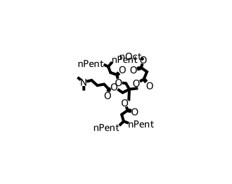 CCCCCCCCOC(=O)CC(=O)OCC(COC(=O)CCCN(C)C)(COC(=O)CC(CCCCC)CCCCC)COC(=O)CC(CCCCC)CCCCC